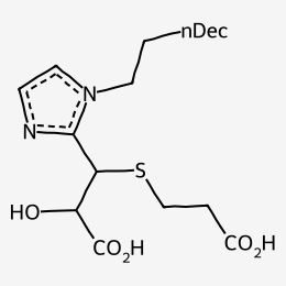 CCCCCCCCCCCCn1ccnc1C(SCCC(=O)O)C(O)C(=O)O